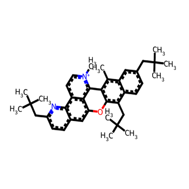 Cc1c2c(c(CC(C)(C)C)c3ccc(CC(C)(C)C)cc13)Oc1cc3ccc(CC(C)(C)C)nc3c3cc[n+](C)c-2c13